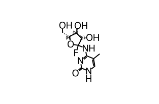 Cc1c[nH]c(=O)nc1NC1(F)O[C@H](CO)[C@@H](O)[C@@H]1O